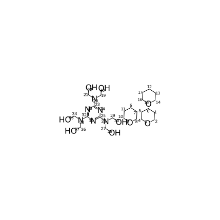 C1CCOCC1.C1CCOCC1.C1CCOCC1.OCN(CO)c1nc(N(CO)CO)nc(N(CO)CO)n1